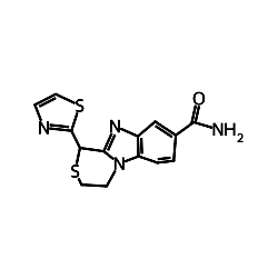 NC(=O)c1ccc2c(c1)nc1n2CCSC1c1nccs1